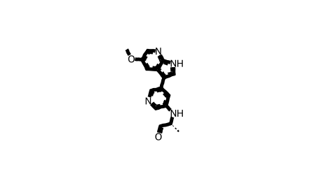 COc1cnc2[nH]cc(-c3cncc(N[C@H](C)C=O)c3)c2c1